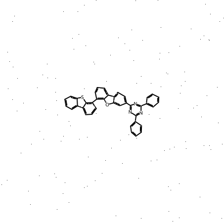 c1ccc(-c2nc(-c3ccccc3)nc(-c3ccc4c(c3)oc3c(-c5cccc6c5sc5ccccc56)cccc34)n2)cc1